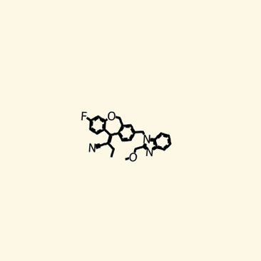 CC/C(C#N)=C1\c2ccc(Cn3c(COC)nc4ccccc43)cc2COc2cc(F)ccc21